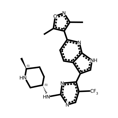 Cc1noc(C)c1-c1ccc2c(-c3nc(N[C@H]4CC[C@H](C)NC4)ncc3C(F)(F)F)c[nH]c2n1